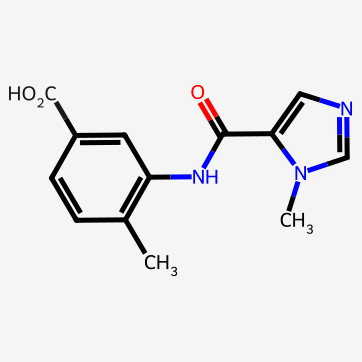 Cc1ccc(C(=O)O)cc1NC(=O)c1cncn1C